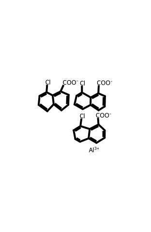 O=C([O-])c1cccc2cccc(Cl)c12.O=C([O-])c1cccc2cccc(Cl)c12.O=C([O-])c1cccc2cccc(Cl)c12.[Al+3]